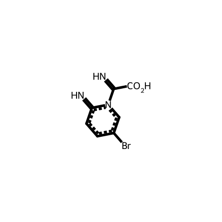 N=C(C(=O)O)n1cc(Br)ccc1=N